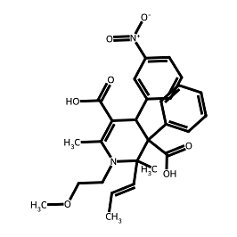 CC=CC1(C)N(CCOC)C(C)=C(C(=O)O)C(c2cccc([N+](=O)[O-])c2)C1(C(=O)O)c1ccccc1